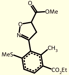 CCOC(=O)c1ccc(SC)c(C2=NOC(C(=O)OC)C2)c1C